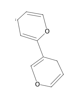 [C]1C=COC(C2=COC=CC2)=C1